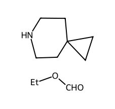 C1CC2(CCN1)CC2.CCOC=O